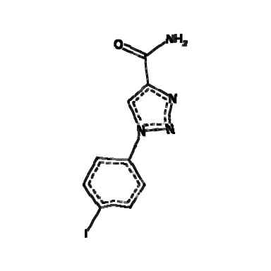 NC(=O)c1cn(-c2ccc(I)cc2)nn1